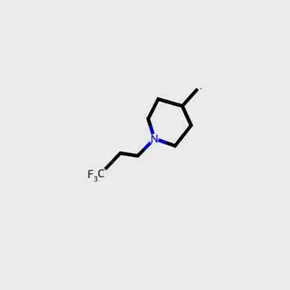 [CH2]C1CCN(CCC(F)(F)F)CC1